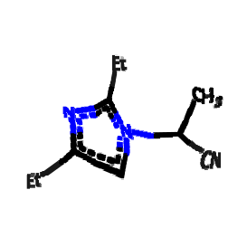 CCc1cn(C(C)C#N)c(CC)n1